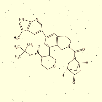 Cc1c[nH]c2ncc(-c3cc4c(c(C5COCCN5C(=O)OC(C)(C)C)c3)CN(C(=O)N3C[C@H]5C[C@@H]3CC5=O)CC4)cc12